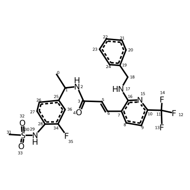 CC(NC(=O)C=Cc1ccc(C(F)(F)F)nc1NCc1ccccc1)c1ccc(NS(C)(=O)=O)c(F)c1